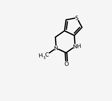 CN1Cc2cscc2NC1=O